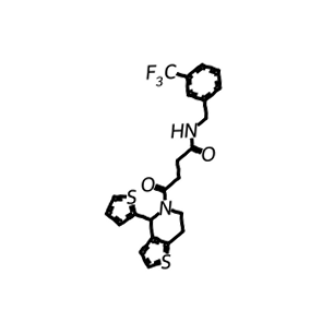 O=C(CCC(=O)N1CCc2sccc2C1c1cccs1)NCc1cccc(C(F)(F)F)c1